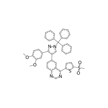 COc1ccc(-c2nn(C(c3ccccc3)(c3ccccc3)c3ccccc3)cc2-c2ccc3ncnc(-c4ccc(S(C)(=O)=O)s4)c3c2)cc1OC